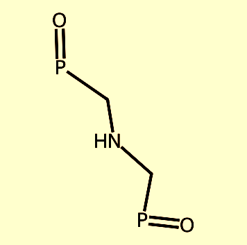 O=PCNCP=O